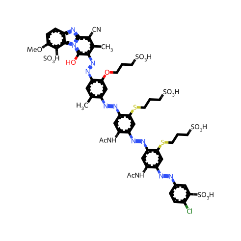 COc1ccc2nc3c(C#N)c(C)c(N=Nc4cc(C)c(N=Nc5cc(NC(C)=O)c(N=Nc6cc(NC(C)=O)c(N=Nc7ccc(Cl)c(S(=O)(=O)O)c7)cc6SCCCS(=O)(=O)O)cc5SCCCS(=O)(=O)O)cc4OCCCS(=O)(=O)O)c(O)n3c2c1S(=O)(=O)O